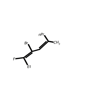 CCC/C(C)=C\C(Br)=C(\F)CC